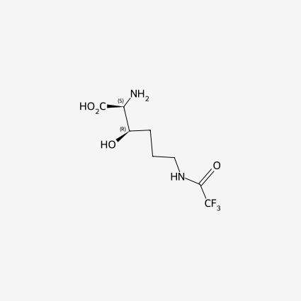 N[C@H](C(=O)O)[C@H](O)CCCNC(=O)C(F)(F)F